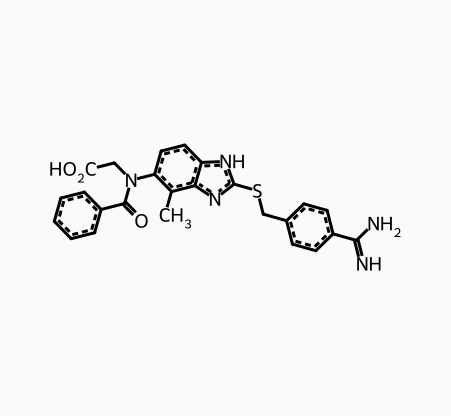 Cc1c(N(CC(=O)O)C(=O)c2ccccc2)ccc2[nH]c(SCc3ccc(C(=N)N)cc3)nc12